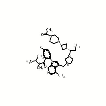 CCC([C@H]1C[C@@H](N2CCN(C(C)=O)CC2)C1)N1CC[C@@H](Cc2cn(-c3ccc(F)cc3C(=O)N(C)C(C)C)c3cncc(C)c23)C1